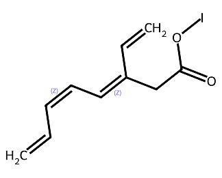 C=C/C=C\C=C(/C=C)CC(=O)OI